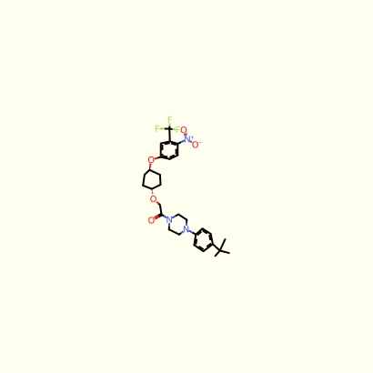 CC(C)(C)c1ccc(N2CCN(C(=O)CO[C@H]3CC[C@H](Oc4ccc([N+](=O)[O-])c(C(F)(F)F)c4)CC3)CC2)cc1